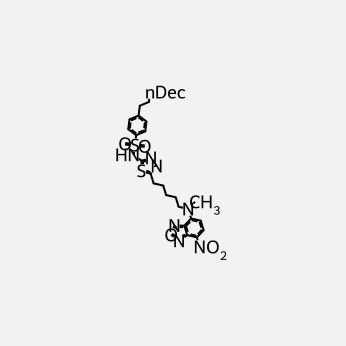 CCCCCCCCCCCCc1ccc(S(=O)(=O)Nc2nnc(CCCCCN(C)c3ccc([N+](=O)[O-])c4nonc34)s2)cc1